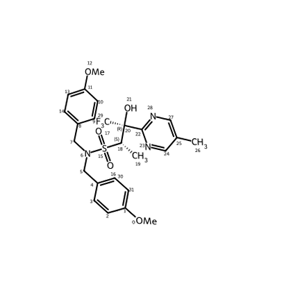 COc1ccc(CN(Cc2ccc(OC)cc2)S(=O)(=O)[C@@H](C)[C@@](O)(c2ncc(C)cn2)C(F)(F)F)cc1